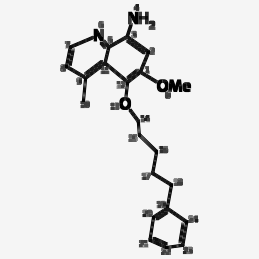 COc1cc(N)c2nccc(C)c2c1OCCCCCc1ccccc1